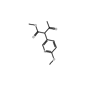 COC(=O)C(C(C)=O)c1ccc(OC)nc1